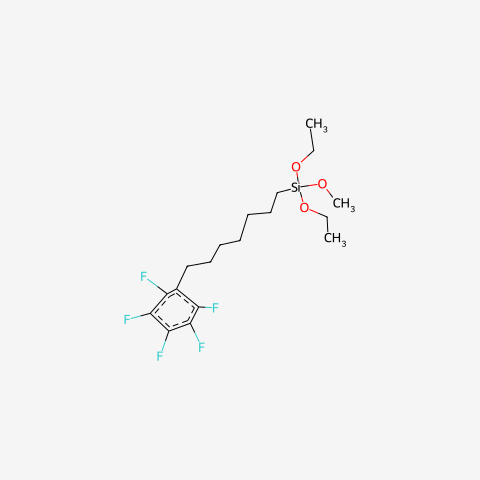 CCO[Si](CCCCCCCc1c(F)c(F)c(F)c(F)c1F)(OC)OCC